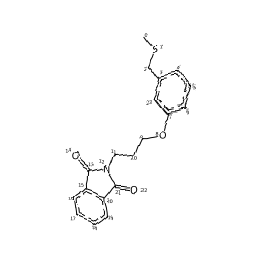 CSCc1cccc(OCCCN2C(=O)c3ccccc3C2=O)c1